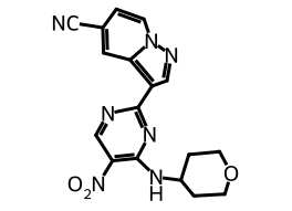 N#Cc1ccn2ncc(-c3ncc([N+](=O)[O-])c(NC4CCOCC4)n3)c2c1